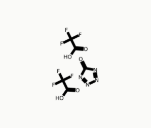 O=C(O)C(F)(F)F.O=C(O)C(F)(F)F.O=C1N=NN=N1